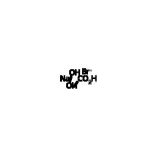 CC(=O)O.OO.[Br-].[Na+]